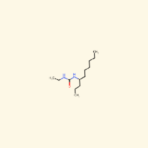 CCCCCCC(CCC)NC(=O)NCC